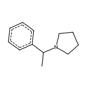 CC(c1ccccc1)N1CCCC1